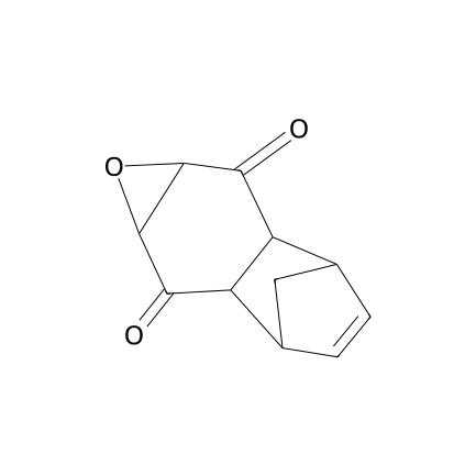 O=C1C2OC2C(=O)C2C3C=CC(C3)C12